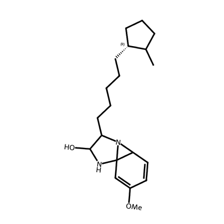 COC1=CC23NC(O)C(CCCCC[C@@H]4CCCC4C)N2C3C=C1